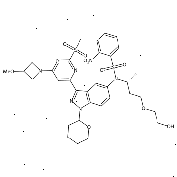 COC1CN(c2cc(-c3nn(C4CCCCO4)c4ccc(N([C@H](C)CCOCCO)S(=O)(=O)c5ccccc5[N+](=O)[O-])cc34)nc(S(C)(=O)=O)n2)C1